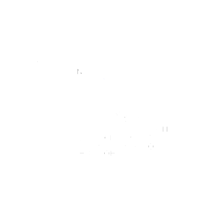 CC(C)(O)c1ccccc1CC[C@H](c1cccc(/C=C/c2ccc3ccc(Cl)cc3n2)c1)[S+]([O-])CC1(CC(=O)O)CC1